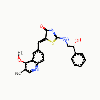 CCOc1c(C#N)cnc2ccc(/C=C3\SC(NC[C@H](O)c4ccccc4)=NC3=O)cc12